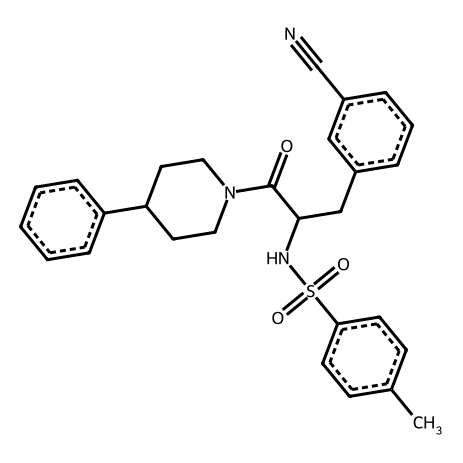 Cc1ccc(S(=O)(=O)NC(Cc2cccc(C#N)c2)C(=O)N2CCC(c3ccccc3)CC2)cc1